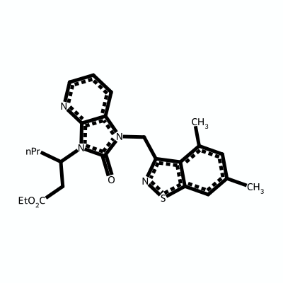 CCCC(CC(=O)OCC)n1c(=O)n(Cc2nsc3cc(C)cc(C)c23)c2cccnc21